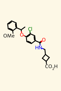 COc1ccccc1C(C)Oc1ccc(C(=O)NCC2CC(C(=O)O)C2)cc1Cl